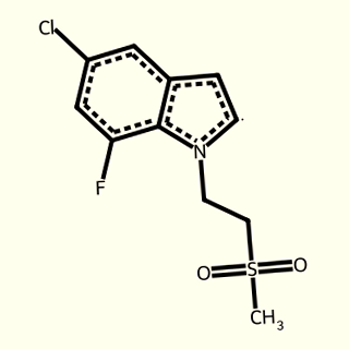 CS(=O)(=O)CCn1[c]cc2cc(Cl)cc(F)c21